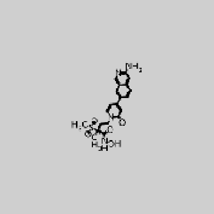 C[C@@](CCn1ccc(-c2ccc3cc(N)ncc3c2)cc1=O)(C(=O)NO)S(C)(=O)=O